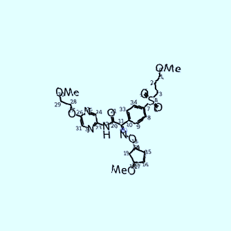 COCCCS(=O)(=O)c1ccc(/C(=N\O[C@@H]2CC[C@@H](OC)C2)C(=O)Nc2cnc(OCCOC)cn2)cc1